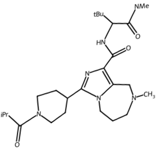 CNC(=O)C(NC(=O)c1nc(C2CCN(C(=O)C(C)C)CC2)n2c1CN(C)CCC2)C(C)(C)C